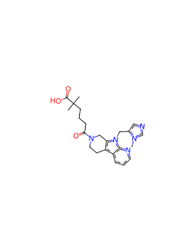 Cn1cncc1Cn1c2c(c3cccnc31)CCN(C(=O)CCCC(C)(C)C(=O)O)C2